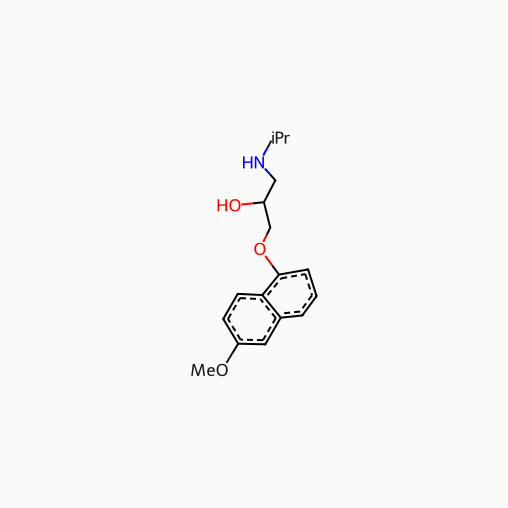 COc1ccc2c(OCC(O)CNC(C)C)cccc2c1